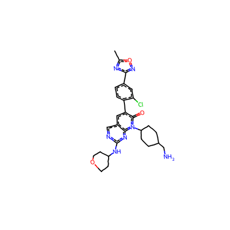 Cc1nc(-c2ccc(-c3cc4cnc(NC5CCOCC5)nc4n(C4CCC(CN)CC4)c3=O)c(Cl)c2)no1